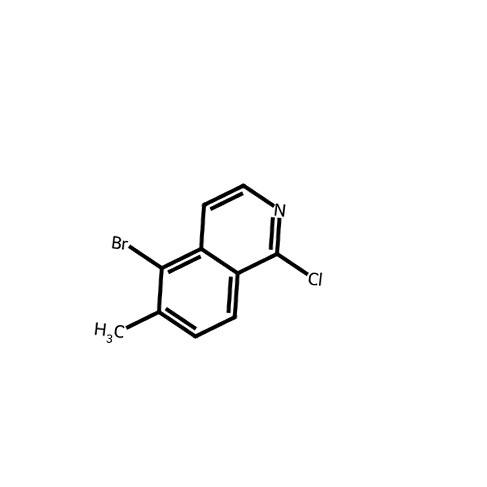 Cc1ccc2c(Cl)nccc2c1Br